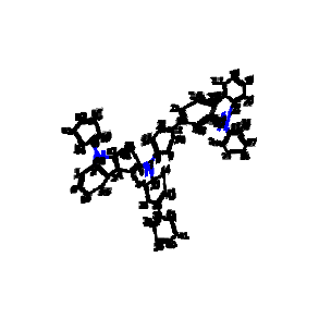 C1=Cc2c(c3cc(N(c4ccc(-c5ccc6c7ccccc7n(-c7ccccc7)c6c5)cc4)C4C=CC(c5ccccc5)=CC4)ccc3n2-c2ccccc2)CC1